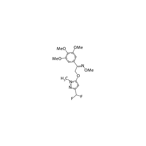 CON=C(COc1cc(C(F)F)nn1C)c1cc(OC)c(OC)c(OC)c1